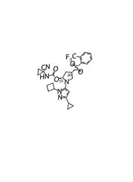 N#CC1(NC(=O)O[C@H]2C[C@@H](S(=O)(=O)c3ccccc3C(F)(F)F)CN2c2cc(C3CC3)nn2C2CCC2)CC1